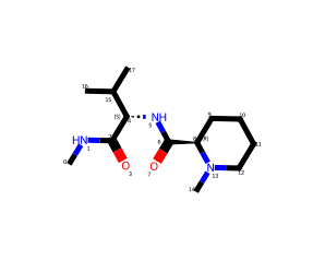 CNC(=O)[C@@H](NC(=O)[C@H]1CCCCN1C)C(C)C